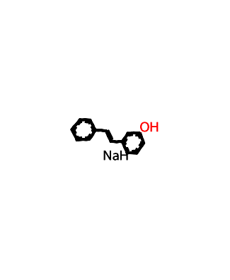 Oc1cccc(/C=C/c2ccccc2)c1.[NaH]